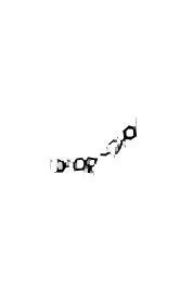 O=C1O[C@@H](CCN2CCN(c3ccc(F)cc3)CC2)CC12CCN(c1ccno1)CC2